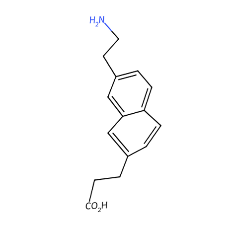 NCCc1ccc2ccc(CCC(=O)O)cc2c1